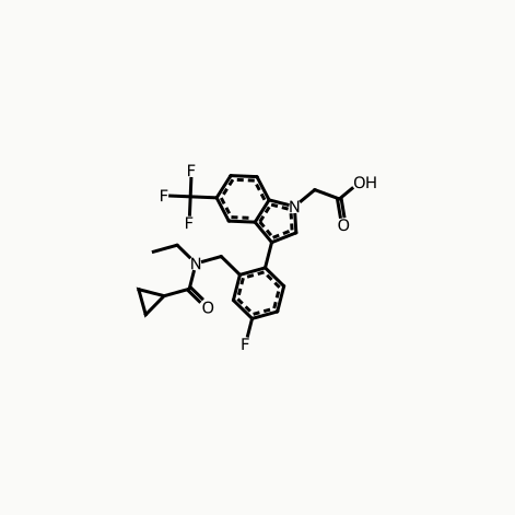 CCN(Cc1cc(F)ccc1-c1cn(CC(=O)O)c2ccc(C(F)(F)F)cc12)C(=O)C1CC1